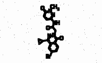 Cn1nc(NC(=O)Cn2nc(C3CC3)c3cc(Br)ccc3c2=O)ccc1=O